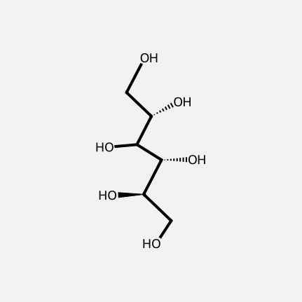 OC[C@@H](O)[C@@H](O)C(O)[C@@H](O)CO